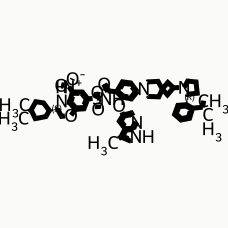 Cc1c[nH]c2ncc(Oc3cc(N4CCC5(CC4)CC(N4CCC[C@@H]4c4ccccc4C(C)C)C5)ccc3C(=O)NS(=O)(=O)c3cc4c(c([N+](=O)[O-])c3)N[C@@H](C3CCC(C)(C)CC3)CO4)cc12